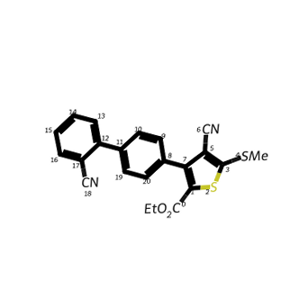 CCOC(=O)c1sc(SC)c(C#N)c1-c1ccc(-c2ccccc2C#N)cc1